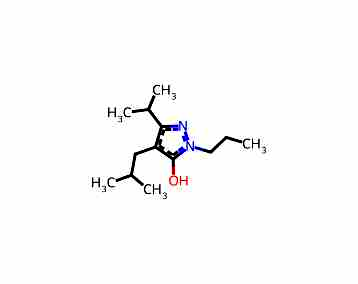 CCCn1nc(C(C)C)c(CC(C)C)c1O